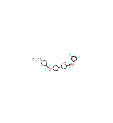 CCCCCCCCC1CCC(C(F)(F)OC2CCC(C3CCC(C(F)(F)Oc4cc(F)c(F)c(F)c4)OC3)CC2)CC1